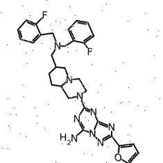 Nc1nc(N2CCN3CC(CN(Cc4ccccc4F)Cc4ccccc4F)CCC3C2)nc2nc(-c3ccco3)nn12